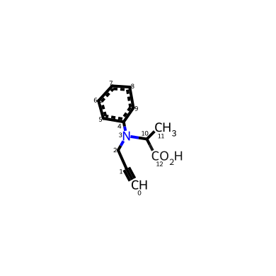 C#CCN(c1ccccc1)C(C)C(=O)O